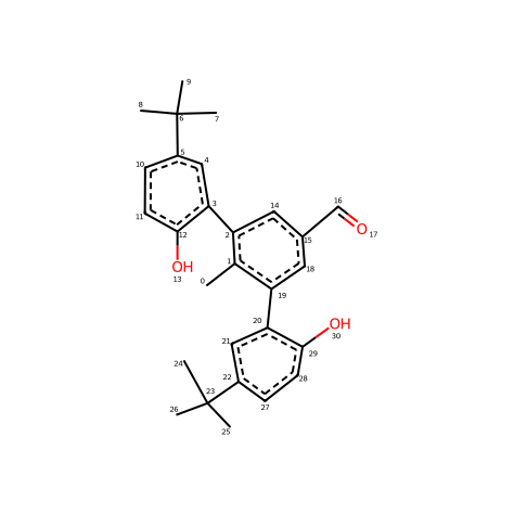 Cc1c(-c2cc(C(C)(C)C)ccc2O)cc(C=O)cc1-c1cc(C(C)(C)C)ccc1O